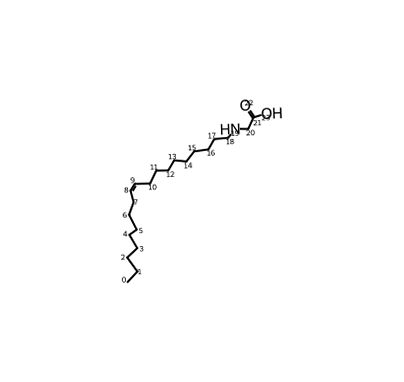 CCCCCCCC/C=C\CCCCCCCCCNCC(=O)O